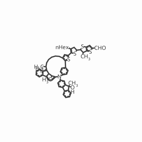 CCCCCCC1=C(c2cc3c(s2)-c2ccc(cc2)N(c2ccc4c(c2)C(C)(O)c2ccccc2-4)C2=CC=C4c5ccccc5C(C)(C(C)CCCCC3)C4C2C)SC(C2Sc3cc(C=O)sc3C2C)C1